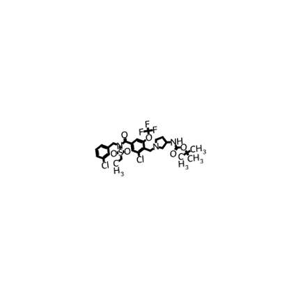 CCS(=O)(=O)N(Cc1cccc(Cl)c1)C(=O)c1cc(Cl)c(CN2CCC(NC(=O)OC(C)(C)C)C2)c(OC(F)(F)F)c1